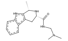 C[C@@H]1N[C@H](C(=O)NCN(C)C)Cc2c1[nH]c1ccccc21